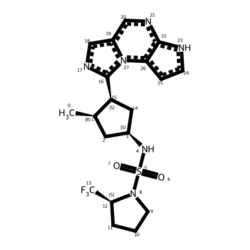 C[C@@H]1C[C@H](NS(=O)(=O)N2CCC[C@H]2C(F)(F)F)C[C@@H]1c1ncc2cnc3[nH]ccc3n12